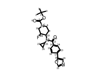 CC(C)(C)OC(=O)N1CCC(N(C(=O)c2ccc(-c3cnco3)cc2)C2CC2)C(F)C1